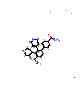 Cc1cnccc1-c1c(C(N)=O)ccc(-c2ccc(C(N)=O)cc2)c1-c1ccncc1C